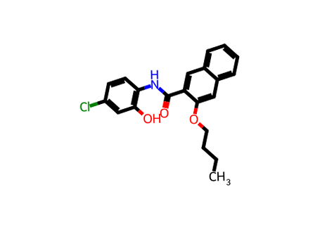 CCCCOc1cc2ccccc2cc1C(=O)Nc1ccc(Cl)cc1O